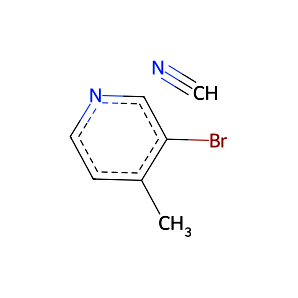 C#N.Cc1ccncc1Br